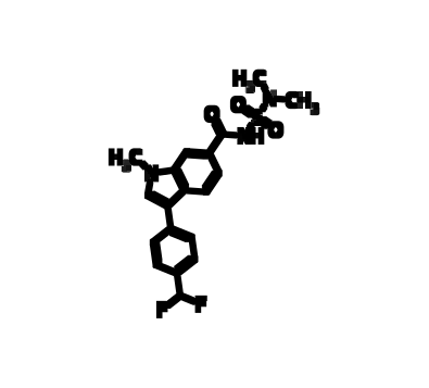 CN(C)S(=O)(=O)NC(=O)c1ccc2c(-c3ccc(C(F)F)cc3)cn(C)c2c1